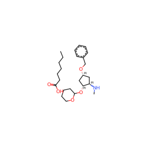 CCCCCCC(=O)O.CN[C@@H]1C[C@@H](OCc2ccccc2)C[C@H]1OC1CCCCO1